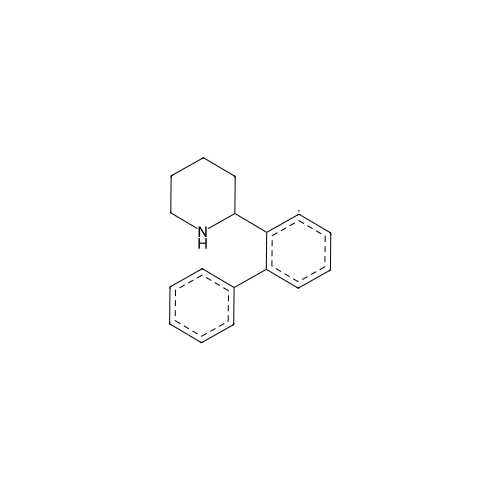 [c]1cccc(-c2ccccc2)c1C1CCCCN1